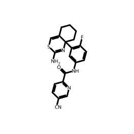 N#Cc1ccc(C(=O)Nc2ccc(F)c(C34CCCCC3=CSC(N)=N4)c2)nc1